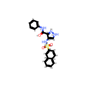 O=C(Nc1ccccc1)c1n[nH]cc1NS(=O)(=O)c1ccc2ccccc2c1